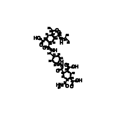 CNC(=O)c1cc(C(=O)Nc2ccc(CNC(=O)c3cc(C(=O)NC(C)C)c(C(C)=O)cc3C(=O)O)cc2)c(C(=O)O)cc1C(=O)O